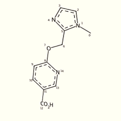 Cn1ccnc1COc1ccc(C(=O)O)cn1